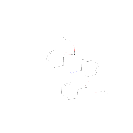 COC(=O)c1ccccc1N(c1ccccc1)c1ccccc1C(=O)OC